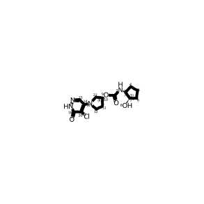 O=C(N[C@@H]1CCC[C@@H]1O)O[C@@H]1CCN(c2cn[nH]c(=O)c2Cl)C1